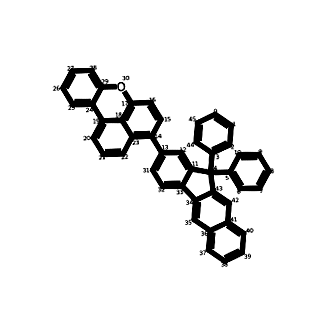 c1ccc(C2(c3ccccc3)c3cc(-c4ccc5c6c(cccc46)-c4ccccc4O5)ccc3-c3cc4ccccc4cc32)cc1